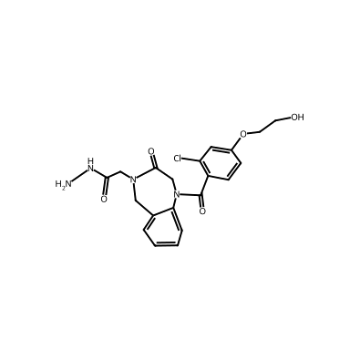 NNC(=O)CN1Cc2ccccc2N(C(=O)c2ccc(OCCO)cc2Cl)CC1=O